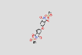 CC(C)S(=O)(=O)ON1C(=O)c2ccc(Oc3ccc4c(c3)C(=O)N(OS(=O)(=O)C(C)C)C4=O)cc2C1=O